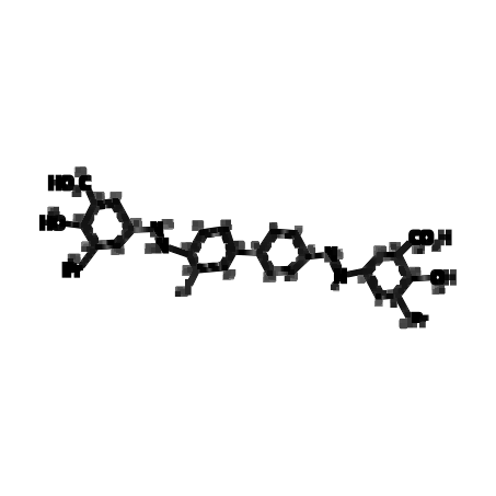 CC(C)c1cc(N=Nc2ccc(-c3ccc(N=Nc4cc(C(=O)O)c(O)c(C(C)C)c4)c(I)c3)cc2)cc(C(=O)O)c1O